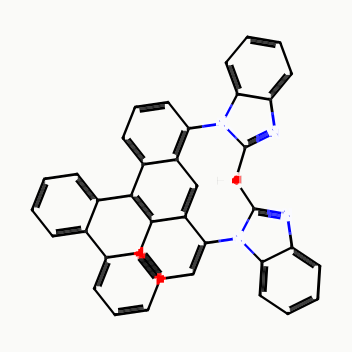 Cc1nc2ccccc2n1-c1cccc2c(-c3ccccc3-c3ccccc3)c3cccc(-n4c(C)nc5ccccc54)c3cc12